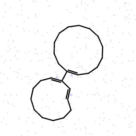 [C]1=C(/C2=C/CCCCCCCCCCCC2)\C=C\CCCCCCCC/1